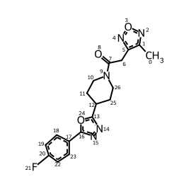 Cc1nonc1CC(=O)N1CCC(c2nnc(-c3ccc(F)cc3)o2)CC1